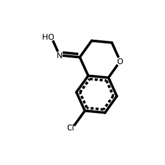 ON=C1CCOc2ccc(Cl)cc21